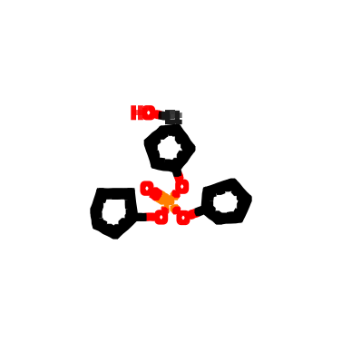 CCO.O=P(Oc1ccccc1)(Oc1ccccc1)Oc1ccccc1